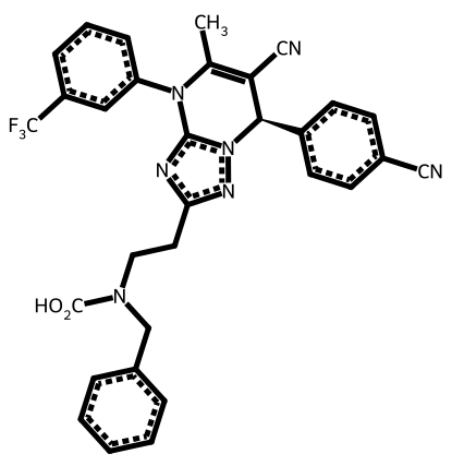 CC1=C(C#N)[C@@H](c2ccc(C#N)cc2)n2nc(CCN(Cc3ccccc3)C(=O)O)nc2N1c1cccc(C(F)(F)F)c1